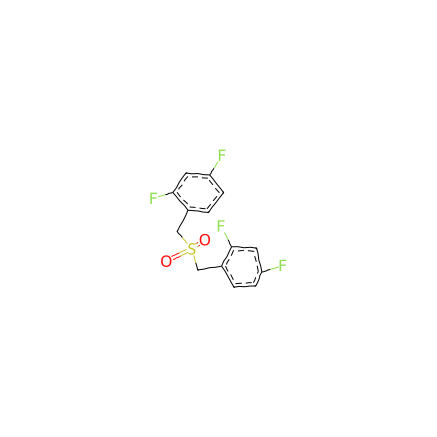 O=S(=O)(Cc1ccc(F)cc1F)Cc1ccc(F)cc1F